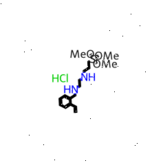 C=Cc1ccccc1CNCCNCCC[Si](OC)(OC)OC.Cl